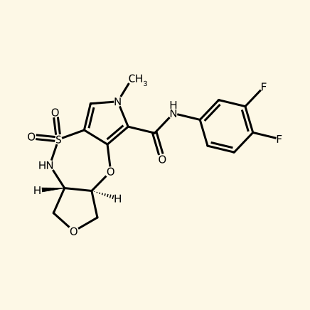 Cn1cc2c(c1C(=O)Nc1ccc(F)c(F)c1)O[C@H]1COC[C@@H]1NS2(=O)=O